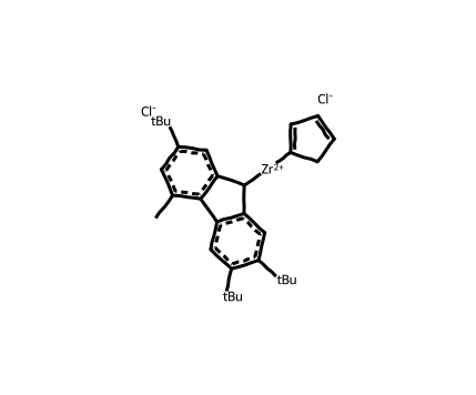 Cc1cc(C(C)(C)C)cc2c1-c1cc(C(C)(C)C)c(C(C)(C)C)cc1[CH]2[Zr+2][C]1=CC=CC1.[Cl-].[Cl-]